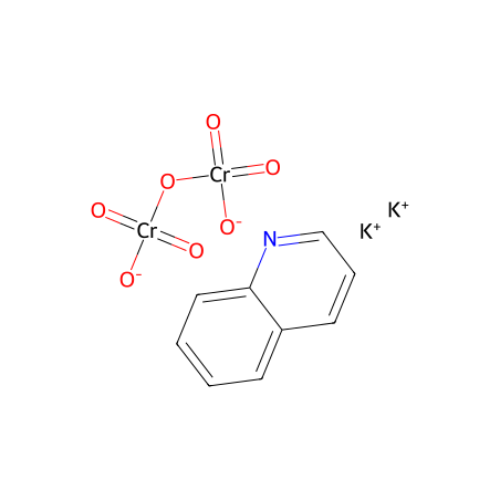 [K+].[K+].[O]=[Cr](=[O])([O-])[O][Cr](=[O])(=[O])[O-].c1ccc2ncccc2c1